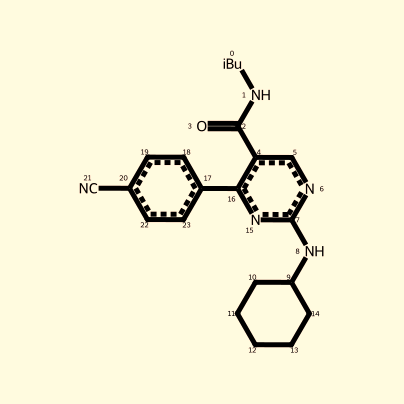 CCC(C)NC(=O)c1cnc(NC2CCCCC2)nc1-c1ccc(C#N)cc1